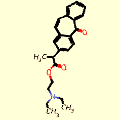 CCN(CC)CCOC(=O)C(C)c1ccc2c(=O)c3ccccc3ccc2c1